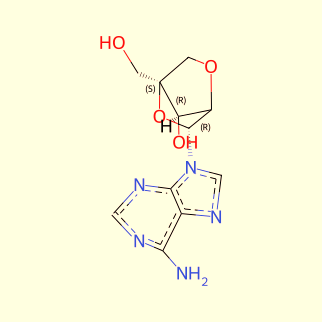 Nc1ncnc2c1ncn2[C@@H]1O[C@@]2(CO)COC1[C@H]2O